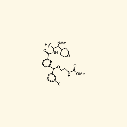 CNC(C1CCOCC1)C(C)NC(=O)c1cccc(C(OCCNC(=O)OC)c2cccc(Cl)c2)c1